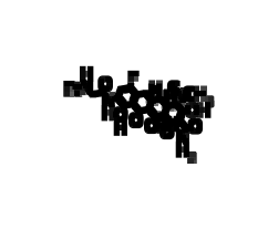 CCNCC(=O)Nc1cc(F)c2c(c1O)C(=O)C1=C(O)[C@]3(O)C(=O)C(C(N)=O)=C(O)[C@@H](N(C)C)[C@@H]3C[C@@H]1C2